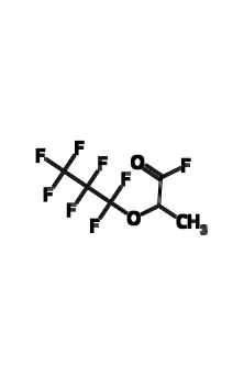 CC(OC(F)(F)C(F)(F)C(F)(F)F)C(=O)F